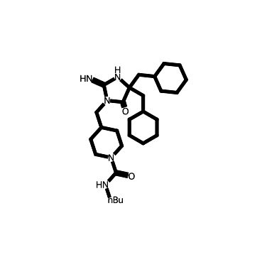 CCCCNC(=O)N1CCC(CN2C(=N)NC(CC3CCCCC3)(CC3CCCCC3)C2=O)CC1